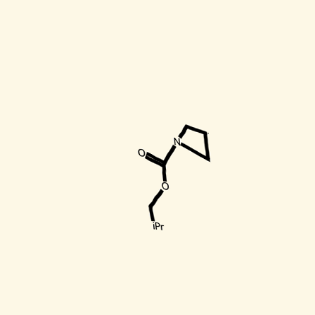 CC(C)COC(=O)N1C[CH]C1